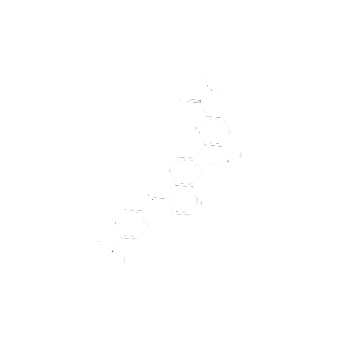 CNC(=O)c1ccc(C(F)(F)F)c(-c2ccc3c(Nc4ccc(C(F)(F)F)cc4)ccnc3c2)n1